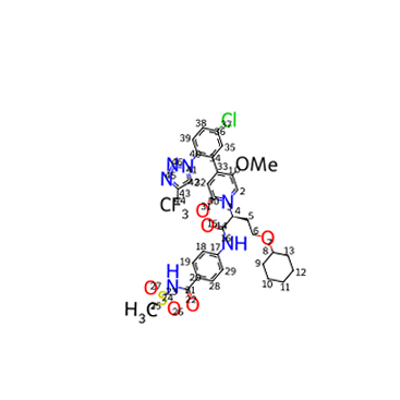 COc1cn([C@@H](CCOC2CCCCC2)C(=O)Nc2ccc(C(=O)NS(C)(=O)=O)cc2)c(=O)cc1-c1cc(Cl)ccc1-n1cc(C(F)(F)F)nn1